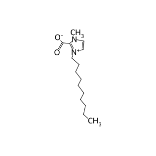 CCCCCCCCCC[n+]1ccn(C)c1C(=O)[O-]